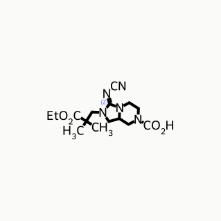 CCOC(=O)C(C)(C)CN1CC2CN(C(=O)O)CCN2/C1=N\C#N